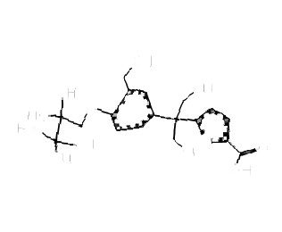 CCc1cc(C(CC)(CC)c2ccc(C(=O)O)s2)ccc1OCC(C)(O)C(C)(C)C